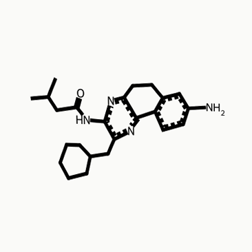 CC(C)CC(=O)Nc1nc2c(nc1CC1CCCCC1)-c1ccc(N)cc1CC2